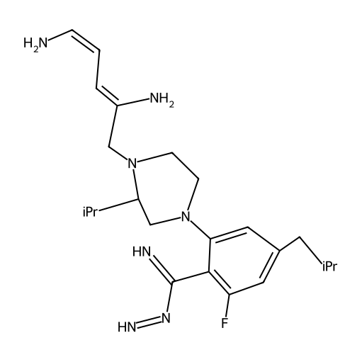 CC(C)Cc1cc(F)c(C(=N)N=N)c(N2CCN(C/C(N)=C/C=C\N)C(C(C)C)C2)c1